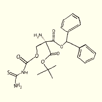 CC(C)(C)OC(=O)[C@@](N)(COC(=O)NC(N)=S)C(=O)OC(c1ccccc1)c1ccccc1